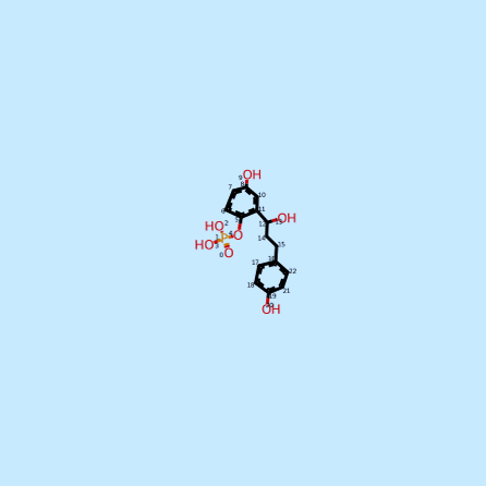 O=P(O)(O)Oc1ccc(O)cc1C(O)CCc1ccc(O)cc1